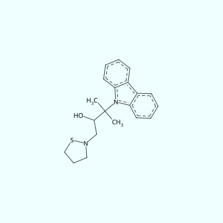 CC(C)(C(O)CN1CCCS1)n1c2ccccc2c2ccccc21